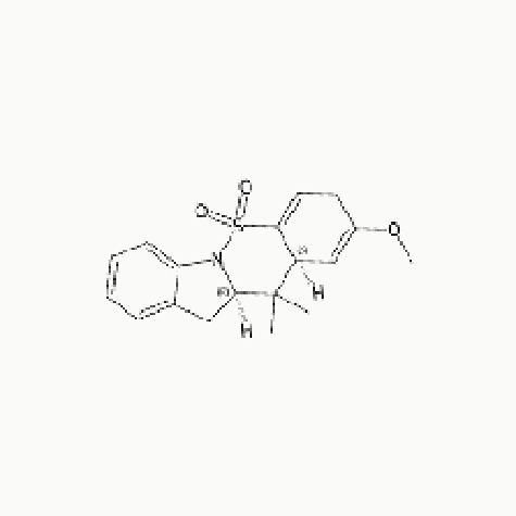 COC1=C[C@@H]2C(=CC1)S(=O)(=O)N1c3ccccc3C[C@@H]1C2(C)C